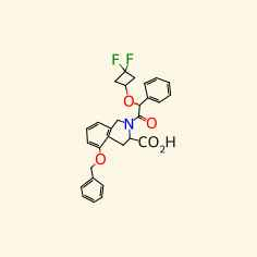 O=C(O)C1Cc2c(cccc2OCc2ccccc2)CN1C(=O)[C@@H](OC1CC(F)(F)C1)c1ccccc1